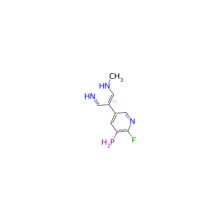 CN/C=C(\C=N)c1cnc(F)c(P)c1